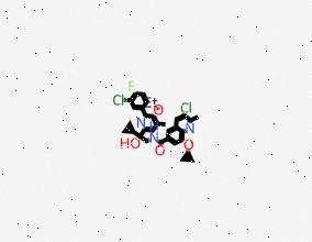 CCOc1c(C)cc([C@@](O)(CNC(=O)c2cc(OC3CC3)c3nc(C)c(Cl)cc3c2)C2CC2)nc1-c1ccc(F)c(Cl)c1